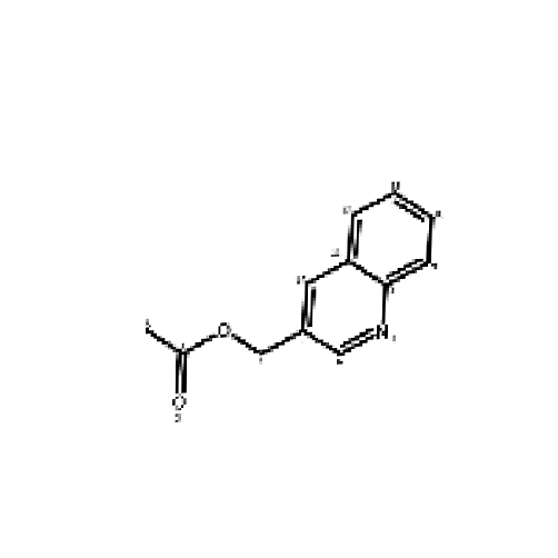 CC(=O)OCc1cnc2ccccc2c1